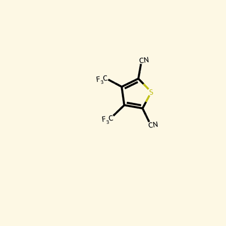 N#Cc1sc(C#N)c(C(F)(F)F)c1C(F)(F)F